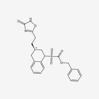 O=C(OCc1ccccc1)S(=O)(=O)C1C[C@H](CCc2nc(=O)[nH]o2)Cc2ccccc21